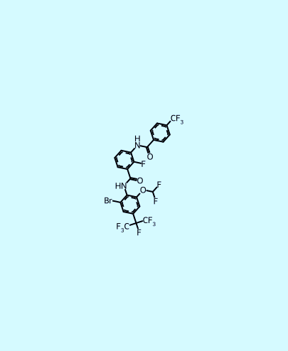 O=C(Nc1cccc(C(=O)Nc2c(Br)cc(C(F)(C(F)(F)F)C(F)(F)F)cc2OC(F)F)c1F)c1ccc(C(F)(F)F)cc1